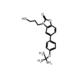 BC(B)(B)Oc1ccc(-c2ccc3oc(=O)n(CCCO)c3c2)cc1